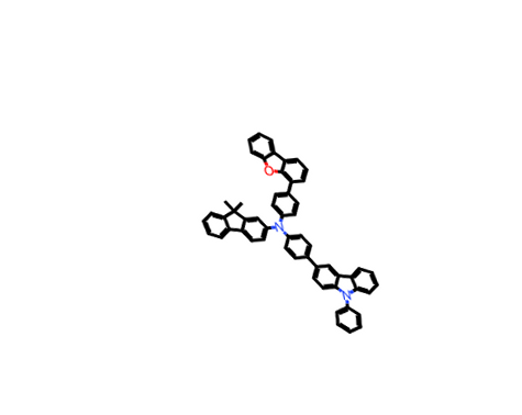 CC1(C)c2ccccc2-c2ccc(N(c3ccc(-c4ccc5c(c4)c4ccccc4n5-c4ccccc4)cc3)c3ccc(-c4cccc5c4oc4ccccc45)cc3)cc21